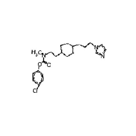 CN(CCC1CCC(CCCn2ccnc2)CC1)C(=O)Oc1ccc(Cl)cc1